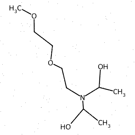 COCCOCCN(C(C)O)C(C)O